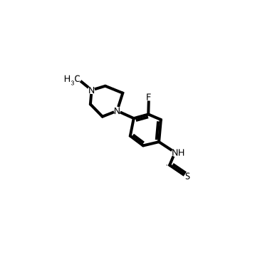 CN1CCN(c2ccc(N[C]=S)cc2F)CC1